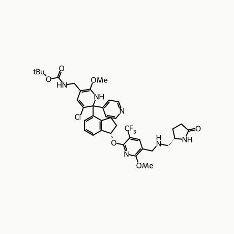 COC1=C(CNC(=O)OC(C)(C)C)C=C(Cl)C(c2ccncc2)(c2cccc3c2CC[C@@H]3Oc2nc(OC)c(CNC[C@@H]3CCC(=O)N3)cc2C(F)(F)F)N1